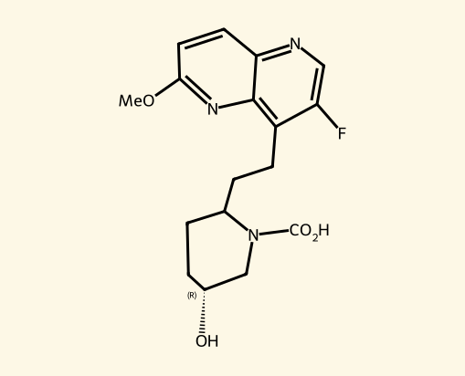 COc1ccc2ncc(F)c(CCC3CC[C@@H](O)CN3C(=O)O)c2n1